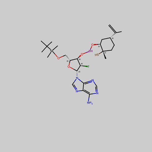 C=C(C)[C@@H]1CC[C@](C)(S)[C@@H](OPO[C@H]2[C@@H](F)[C@H](n3cnc4c(N)ncnc43)O[C@@H]2CO[Si](C)(C)C(C)(C)C)C1